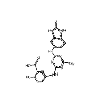 O=C(O)c1cc(Nc2nc(O)nc(Nc3ccc4[nH]c(=O)[nH]c4c3)n2)ccc1O